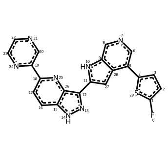 Fc1ccc(-c2cncc3[nH]c(-c4n[nH]c5ccc(-c6cnccn6)nc45)cc23)s1